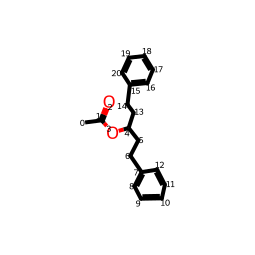 CC(=O)OC(CCc1ccccc1)CCc1ccccc1